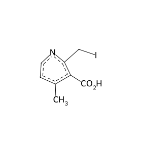 Cc1ccnc(CI)c1C(=O)O